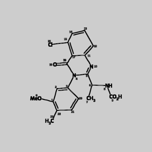 COc1cc(-n2c(C(C)NC(=O)O)nc3cccc(Cl)c3c2=O)ccc1C